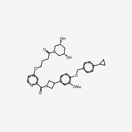 COc1cc(C2CN(C(=O)c3cc(OCCCC(=O)N4C[C@H](O)C[C@H](O)C4)ccn3)C2)ccc1OCc1ccc(C2CC2)cc1